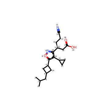 CC(C)CC1CC(c2onc([C@@H](CCC#N)CC(=O)O)c2C2CC2)C1